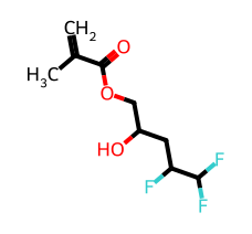 C=C(C)C(=O)OCC(O)CC(F)C(F)F